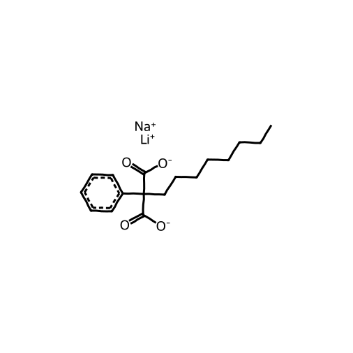 CCCCCCCCC(C(=O)[O-])(C(=O)[O-])c1ccccc1.[Li+].[Na+]